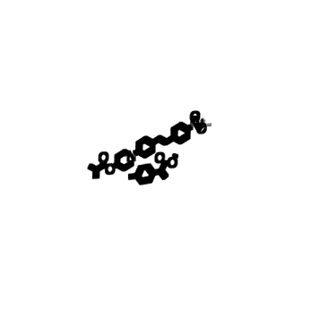 C=C(C(=O)OC)c1ccc(C)cc1.C=C(C)C(=O)OC1CCN(c2ccc(C=Cc3ccc([N+](=O)[O-])cc3)cc2)CC1